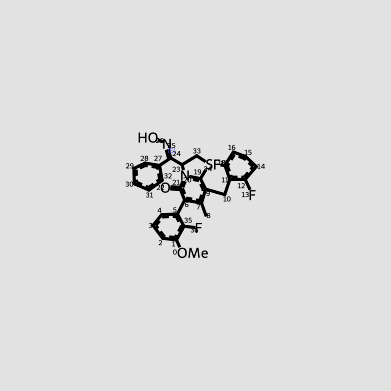 COc1cccc(-c2c(C)c(Cc3c(F)cccc3F)c3n(c2=O)C(/C(=N/O)c2ccccc2)CS3)c1F